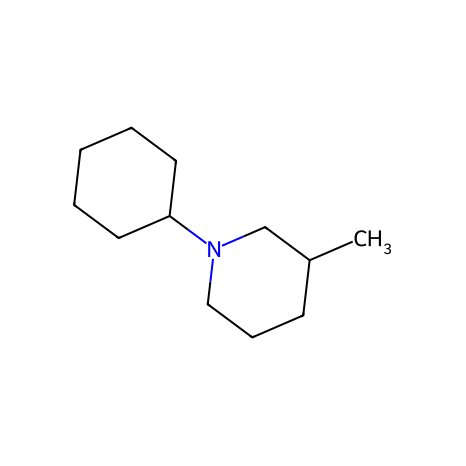 CC1CCCN(C2CCCCC2)C1